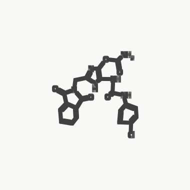 NC(=O)Oc1nc(CN2C(=O)c3ccccc3C2=O)[nH]c1NC(=O)Nc1ccc(Cl)cc1